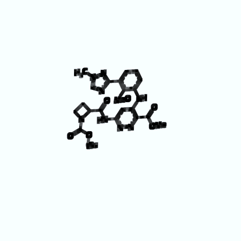 COC(=O)c1nnc(NC(=O)C2CCN2C(=O)OC(C)(C)C)cc1Nc1cccc(-c2ncn(C)n2)c1OC